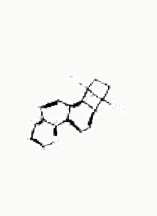 CC12CC[C@H]1c1c2ccc2c1ccc1cccnc12